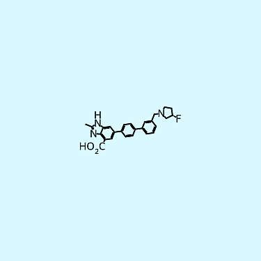 Cc1nc2c(C(=O)O)cc(-c3ccc(-c4cccc(CN5CC[C@@H](F)C5)c4)cc3)cc2[nH]1